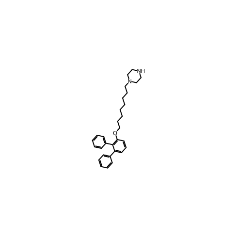 c1ccc(-c2cccc(OCCCCCCCCN3CCNCC3)c2-c2ccccc2)cc1